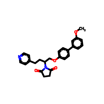 COc1cccc(-c2ccc(OCC(CCc3ccncc3)N3C(=O)CCC3=O)cc2)c1